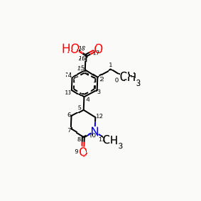 CCc1cc(C2CCC(=O)N(C)C2)ccc1C(=O)O